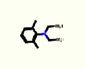 Cc1cccc(C)c1N(CC(=O)O)CC(=O)O